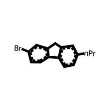 CCCc1ccc2c(c1)Cc1cc(Br)ccc1-2